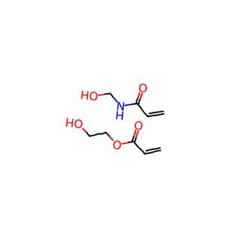 C=CC(=O)NCO.C=CC(=O)OCCO